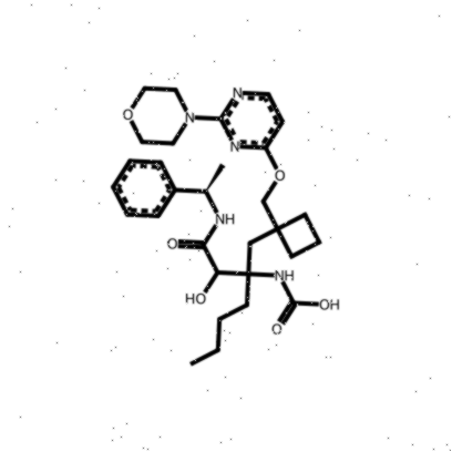 CCCCC(CC1(COc2ccnc(N3CCOCC3)n2)CCC1)(NC(=O)O)C(O)C(=O)N[C@H](C)c1ccccc1